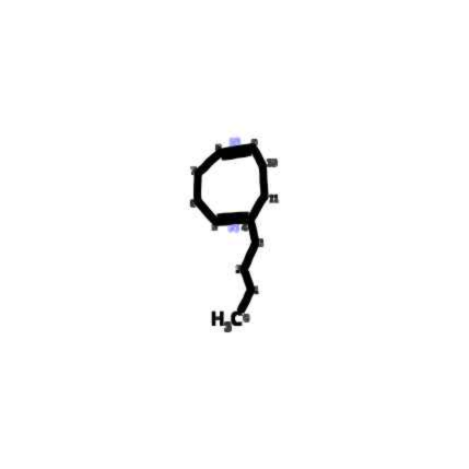 CCCC/C1=C/CC/C=C\CC1